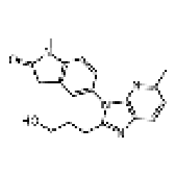 Cc1ccc2nc(CCCO)n(-c3ccc4c(c3)CC(=O)N4)c2n1